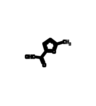 Cc1ccc(C(=O)C=O)o1